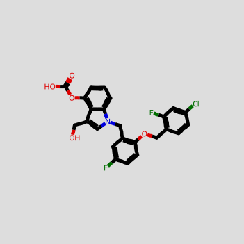 O=C(O)Oc1cccc2c1c(CO)cn2Cc1cc(F)ccc1OCc1ccc(Cl)cc1F